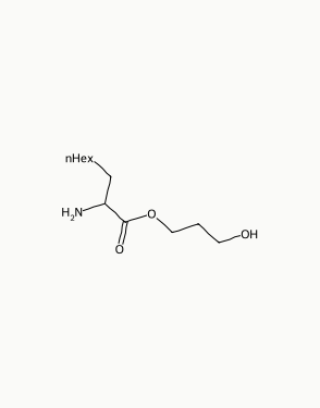 CCCCCCCC(N)C(=O)OCCCO